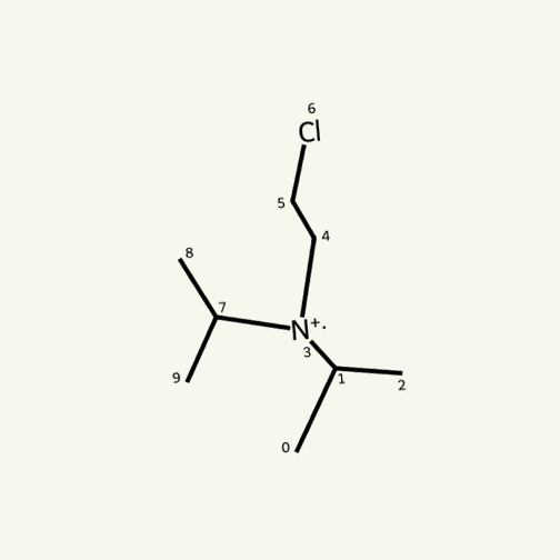 CC(C)[N+](CCCl)C(C)C